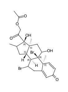 CC(=O)OCC(=O)[C@@]1(O)C(C)C[C@H]2[C@@H]3C(Br)CC4=CC(=O)C=C[C@]4(C)[C@@]3(Br)C(O)C[C@@]21C